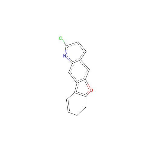 Clc1ccc2cc3oc4c(c3cc2n1)C=CCC4